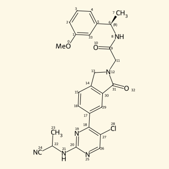 COc1cccc([C@@H](C)NC(=O)CN2Cc3ccc(-c4nc(NC(C)C#N)ncc4Cl)cc3C2=O)c1